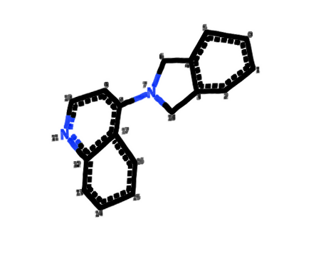 c1ccc2c(c1)CN(c1ccnc3ccccc13)C2